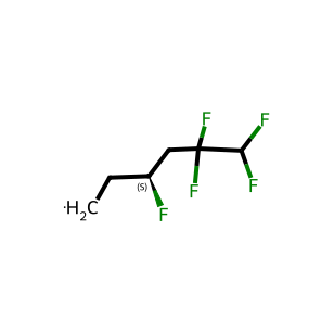 [CH2]C[C@H](F)CC(F)(F)C(F)F